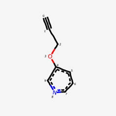 [C]#CCOc1cccnc1